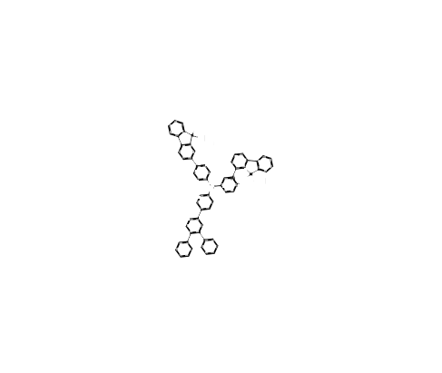 CC1(C)c2ccccc2-c2ccc(-c3ccc(N(c4ccc(-c5ccc(-c6ccccc6)c(-c6ccccc6)c5)cc4)c4cccc(-c5cccc6c5C(C)(C)c5ccccc5-6)c4)cc3)cc21